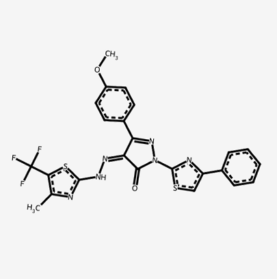 COc1ccc(C2=NN(c3nc(-c4ccccc4)cs3)C(=O)/C2=N\Nc2nc(C)c(C(F)(F)F)s2)cc1